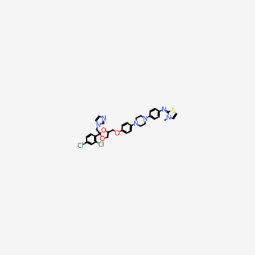 Cn1ccsc1=Nc1ccc(N2CCN(c3ccc(OCC4COC(Cn5ccnc5)(c5ccc(Cl)cc5Cl)O4)cc3)CC2)cc1